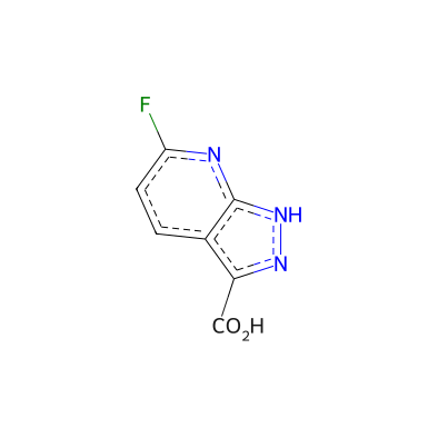 O=C(O)c1n[nH]c2nc(F)ccc12